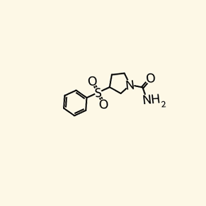 NC(=O)N1CCC(S(=O)(=O)c2ccccc2)C1